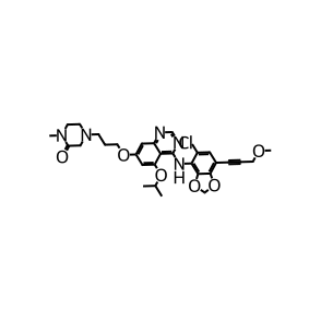 COCC#Cc1cc(Cl)c(Nc2ncnc3cc(OCCCN4CCN(C)C(=O)C4)cc(OC(C)C)c23)c2c1OCO2